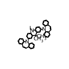 CC1(C)c2cc(N3c4ccccc4C=Cc4ccccc43)ccc2N(I)c2ccc(N3c4ccccc4C=Cc4ccccc43)cc21